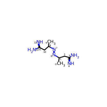 CC(CC(=N)N)/N=N/C(C)CC(=N)N